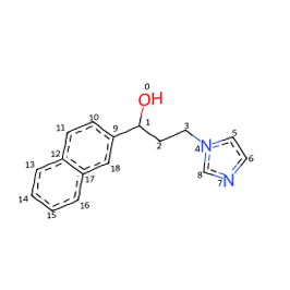 OC(CCn1ccnc1)c1ccc2ccccc2c1